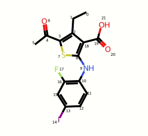 CCc1c(C(C)=O)sc(Nc2ccc(I)cc2F)c1C(=O)O